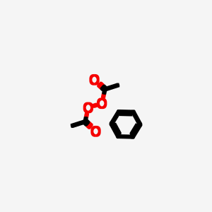 CC(=O)OOC(C)=O.c1ccccc1